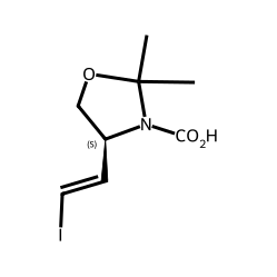 CC1(C)OC[C@H](C=CI)N1C(=O)O